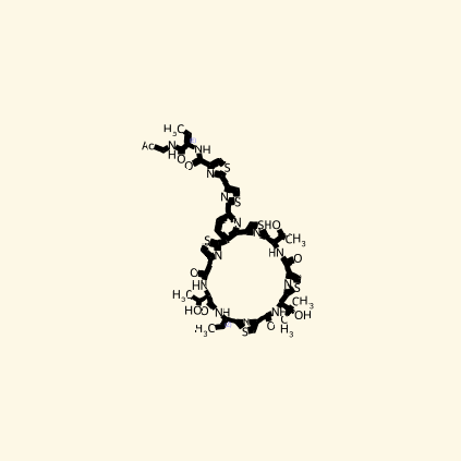 C/C=C1\NC(=O)C(C(C)O)NC(=O)c2csc(n2)-c2ccc(-c3nc(-c4nc(C(=O)N/C(=C/C)C(=O)NCC(C)=O)cs4)cs3)nc2-c2csc(n2)C(C(C)O)NC(=O)c2csc(n2)C(C(C)(C)O)NC(=O)c2csc1n2